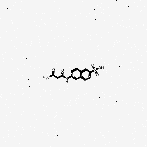 CC(=O)CC(=O)Nc1ccc2cc(S(=O)(=O)O)ccc2c1